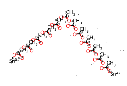 CC(=O)[O-].CC(=O)[O-].CC(=O)[O-].CC(=O)[O-].CC(=O)[O-].CC(=O)[O-].CC(=O)[O-].CC(=O)[O-].CC(=O)[O-].CC(=O)[O-].CC(=O)[O-].CC(=O)[O-].[Sn+4].[Sn+4].[Sn+4]